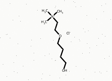 C[N+](C)(C)CCOCCCCO.[Cl-]